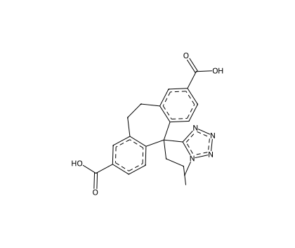 CCCC1(c2nnnn2C)c2ccc(C(=O)O)cc2CCc2cc(C(=O)O)ccc21